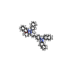 C1=CC(c2ccccc2)(N(c2ccc3ccccc3c2)c2ccc3ccccc3c2)CC=C1c1ccc(N(c2ccc3ccccc3c2)c2ccc3ccccc3c2)cc1